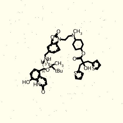 CN(CCn1c(=O)oc2cc(CNC[C@H](O[Si](C)(C)C(C)(C)C)c3ccc(O)c4[nH]c(=O)ccc34)ccc21)C1CCC(OC(=O)C(O)(Cc2cccs2)Cc2cccs2)CC1